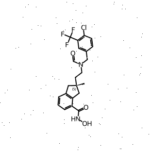 C[C@]1(CCN(C=O)Cc2ccc(Cl)c(C(F)(F)F)c2)Cc2cccc(C(=O)NO)c2C1